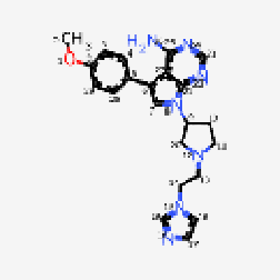 COc1ccc(-c2cn(C3CCN(CCn4ccnc4)C3)c3ncnc(N)c23)cc1